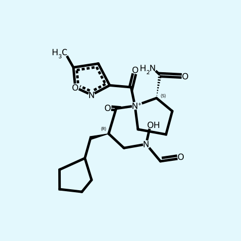 Cc1cc(C(=O)[N+]2(C(=O)[C@H](CC3CCCC3)CN(O)C=O)CCC[C@H]2C(N)=O)no1